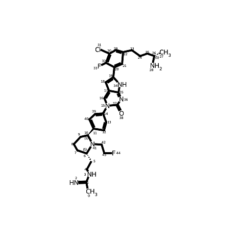 CC(=N)NCC[C@@H]1CCC[C@@H](c2ccc(-n3cc4cc(-c5cc(CCC[C@H](C)N)cc(Cl)c5F)[nH]c4nc3=O)cc2)N1CCF